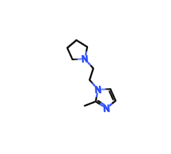 Cc1nccn1CCN1CCCC1